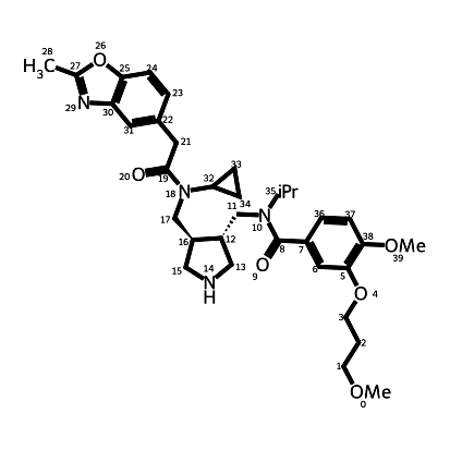 COCCCOc1cc(C(=O)N(C[C@@H]2CNC[C@H]2CN(C(=O)Cc2ccc3oc(C)nc3c2)C2CC2)C(C)C)ccc1OC